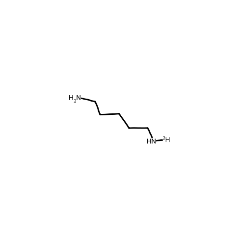 [2H]NCCCCCN